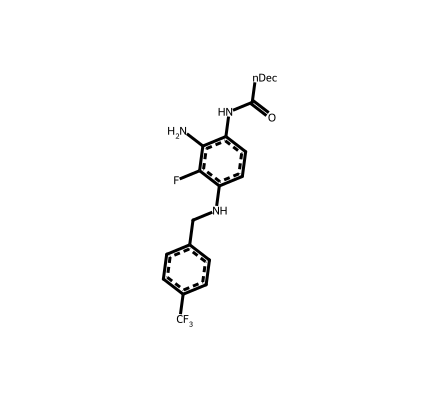 CCCCCCCCCCC(=O)Nc1ccc(NCc2ccc(C(F)(F)F)cc2)c(F)c1N